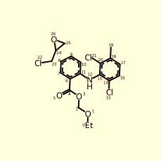 CCOCOC(=O)c1ccccc1Nc1c(Cl)ccc(C)c1Cl.ClCC1CO1